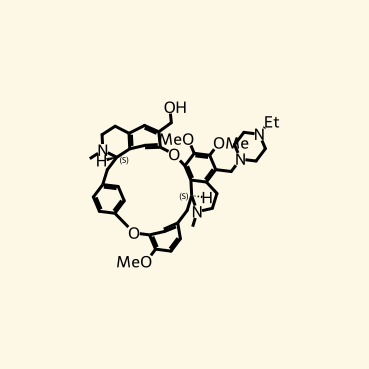 CCN1CCN(Cc2c3c4c(c(OC)c2OC)Oc2cc5c(cc2CO)CCN(C)[C@H]5Cc2ccc(cc2)Oc2cc(ccc2OC)C[C@@H]4N(C)CC3)CC1